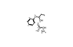 CCC(O)Oc1ccccc1.O=[N+]([O-])O.[SiH4]